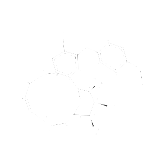 CCOc1ccc(Cc2cc3c(cc2Cl)OC/C=C\COC[C@H]2O[C@@H]3[C@@H](OC(C)=O)[C@@H](OC(C)=O)[C@H]2OC(C)=O)cc1